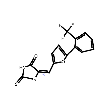 O=C1NC(=S)S/C1=C/c1ccc(-c2ccccc2C(F)(F)F)o1